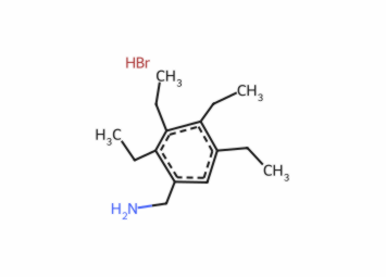 Br.CCc1cc(CN)c(CC)c(CC)c1CC